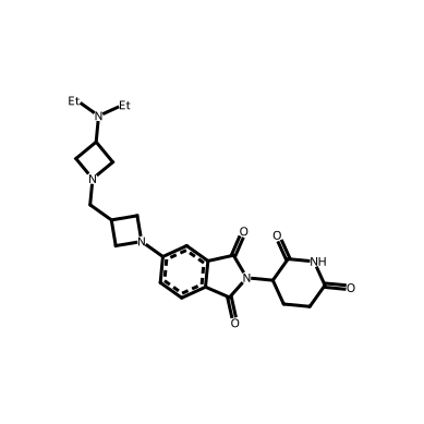 CCN(CC)C1CN(CC2CN(c3ccc4c(c3)C(=O)N(C3CCC(=O)NC3=O)C4=O)C2)C1